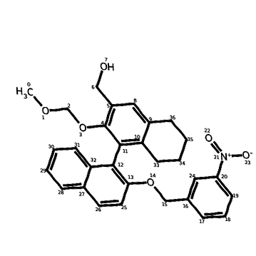 COCOc1c(CO)cc2c(c1-c1c(OCc3cccc([N+](=O)[O-])c3)ccc3ccccc13)CCCC2